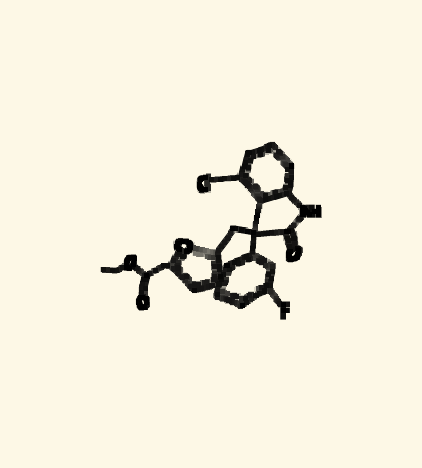 COC(=O)c1ccc(CC2(c3cccc(F)c3)C(=O)Nc3cccc(Cl)c32)o1